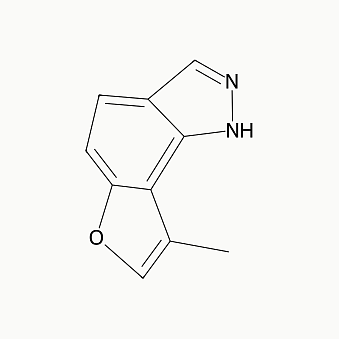 Cc1coc2ccc3cn[nH]c3c12